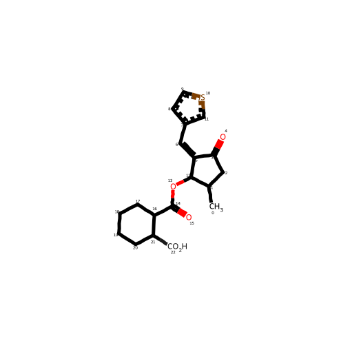 CC1CC(=O)C(=Cc2ccsc2)C1OC(=O)C1CCCCC1C(=O)O